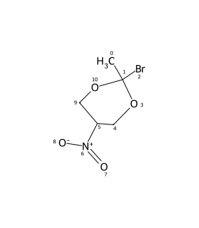 CC1(Br)OCC([N+](=O)[O-])CO1